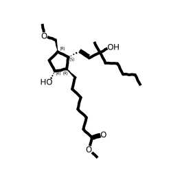 CCCCCC(C)(O)C=C[C@H]1[C@H](COC)C[C@@H](O)[C@@H]1CCCCCCC(=O)OC